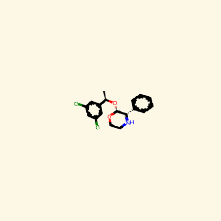 C[C@@H](O[C@H]1OCCN[C@H]1c1ccccc1)c1cc(Cl)cc(Cl)c1